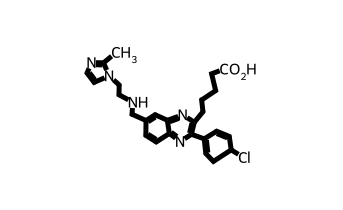 Cc1nccn1CCNCc1ccc2nc(C3=CCC(Cl)C=C3)c(CCCCC(=O)O)nc2c1